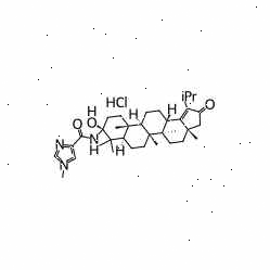 CC(C)C1=C2[C@H]3CC[C@@H]4[C@@]5(C)CC[C@@](O)(NC(=O)c6cn(C)cn6)C(C)(C)[C@@H]5CC[C@@]4(C)[C@]3(C)CC[C@@]2(C)CC1=O.Cl